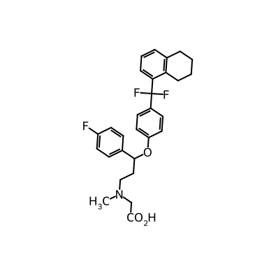 CN(CCC(Oc1ccc(C(F)(F)c2cccc3c2CCCC3)cc1)c1ccc(F)cc1)CC(=O)O